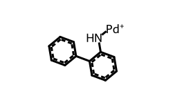 [Pd+][NH]c1ccccc1-c1ccccc1